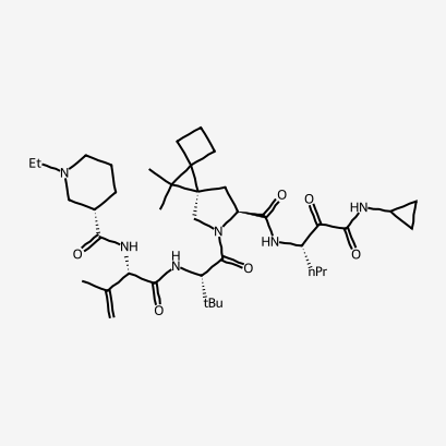 C=C(C)[C@H](NC(=O)[C@H]1CCCN(CC)C1)C(=O)N[C@H](C(=O)N1C[C@]2(C[C@H]1C(=O)N[C@@H](CCC)C(=O)C(=O)NC1CC1)C(C)(C)C21CCC1)C(C)(C)C